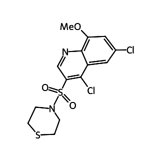 COc1cc(Cl)cc2c(Cl)c(S(=O)(=O)N3CCSCC3)cnc12